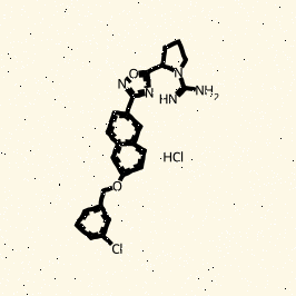 Cl.N=C(N)N1CCCC1c1nc(-c2ccc3cc(OCc4cccc(Cl)c4)ccc3c2)no1